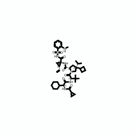 C=C[C@@H]1C[C@]1(NC(=O)[C@@H]1C[C@@](C(C)C)(C2CCC2)CN1C(=O)[C@@H](NC(=O)[C@@H](NC(=O)C1CC1)C1CCCCC1)C(C)(C)C)C(=O)NS(=O)(=O)c1ccccc1NC